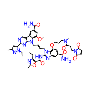 CCc1nc(C)oc1C(=O)Nc1nc2cc(C(N)=O)cc(OCCCN(C)C(=O)CCN3C(=O)C=CC3=O)c2n1C/C=C/Cn1c2nc(-c3cc(C)nn3CC)ncc2c2cc(C(N)=O)cc(OC)c21